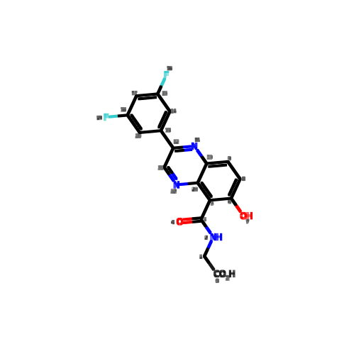 O=C(O)CNC(=O)c1c(O)ccc2nc(-c3cc(F)cc(F)c3)cnc12